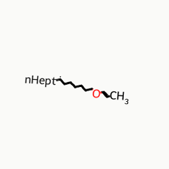 CC=COCCCCCC[CH]CCCCCCC